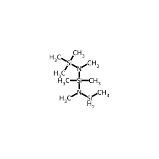 C[SiH2]N(C)[Si](C)(C)N(C)[Si](C)(C)C